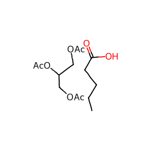 CC(=O)OCC(COC(C)=O)OC(C)=O.CCCCC(=O)O